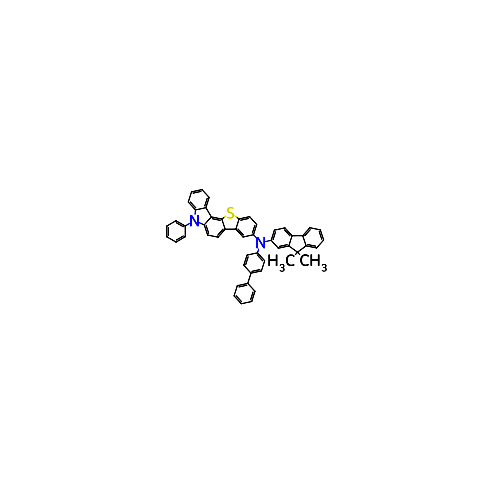 CC1(C)c2ccccc2-c2ccc(N(c3ccc(-c4ccccc4)cc3)c3ccc4sc5c(ccc6c5c5ccccc5n6-c5ccccc5)c4c3)cc21